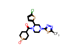 O=C(C1CC[S+]([O-])CC1)N1CCN(c2nnc(C(F)(F)F)s2)CC1c1ccc(Cl)s1